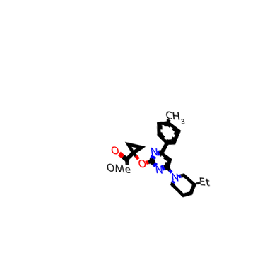 CC[C@H]1CCCN(c2cc(-c3ccc(C)cc3)nc(OC3(C(=O)OC)CC3)n2)C1